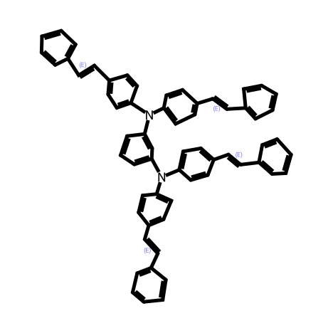 C(=C\c1ccc(N(c2ccc(/C=C/c3ccccc3)cc2)c2cccc(N(c3ccc(/C=C/c4ccccc4)cc3)c3ccc(/C=C/c4ccccc4)cc3)c2)cc1)/c1ccccc1